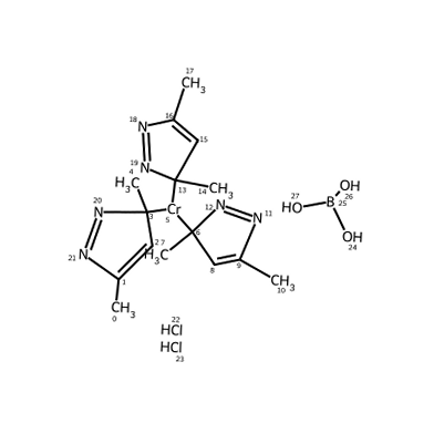 CC1=C[C](C)([Cr]([C]2(C)C=C(C)N=N2)[C]2(C)C=C(C)N=N2)N=N1.Cl.Cl.OB(O)O